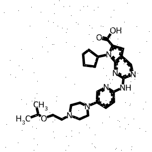 CC(C)OCCN1CCN(c2ccc(Nc3ncc4cc(C(=O)O)n(C5CCCC5)c4n3)nc2)CC1